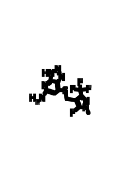 Cn1nc(C(F)(F)F)c(CSc2cc(N)nc3[nH]nnc23)c1F